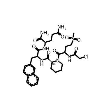 CS(=O)(=O)CCC(NC(=O)CCl)C(=O)N1CCCC[C@H]1C(=O)NC(Cc1ccc2ccccc2c1)C(=O)NC(CCC(N)=O)C(N)=O